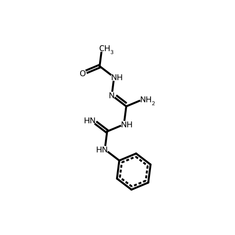 CC(=O)NN=C(N)NC(=N)Nc1ccccc1